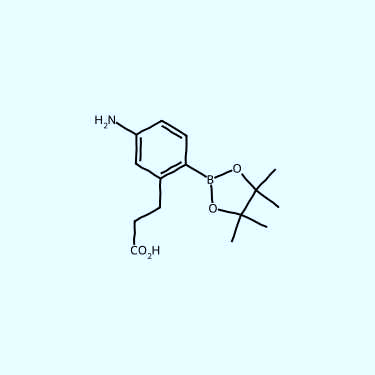 CC1(C)OB(c2ccc(N)cc2CCC(=O)O)OC1(C)C